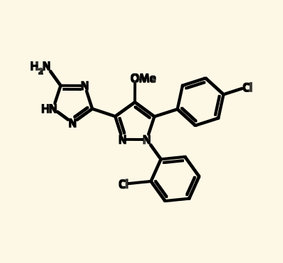 COc1c(-c2n[nH]c(N)n2)nn(-c2ccccc2Cl)c1-c1ccc(Cl)cc1